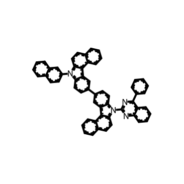 c1ccc(-c2nc(-n3c4ccc(-c5ccc6c(c5)c5c7ccccc7ccc5n6-c5ccc6ccccc6c5)cc4c4c5ccccc5ccc43)nc3ccccc23)cc1